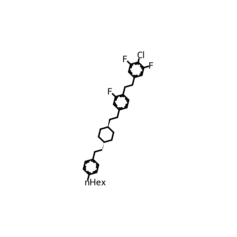 CCCCCCc1ccc(CC[C@H]2CC[C@H](CCc3ccc(CCc4cc(F)c(Cl)c(F)c4)c(F)c3)CC2)cc1